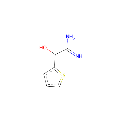 N=C(N)C(O)c1cccs1